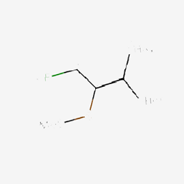 CCCCCCC(CCCCCC)C(CF)SSC